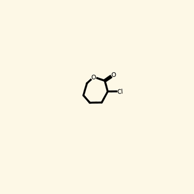 O=C1OCCCCC1Cl